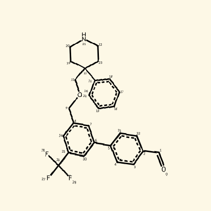 O=Cc1ccc(-c2cc(COCC3(c4ccccc4)CCNCC3)cc(C(F)(F)F)c2)cc1